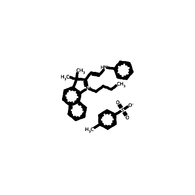 CCCC[N+]1=C(C=CNc2ccccc2)C(C)(C)c2ccc3ccccc3c21.Cc1ccc(S(=O)(=O)[O-])cc1